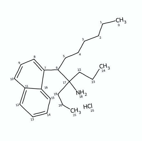 CCCCCCC(c1cccc2ccccc12)C(N)(CCC)CCC.Cl